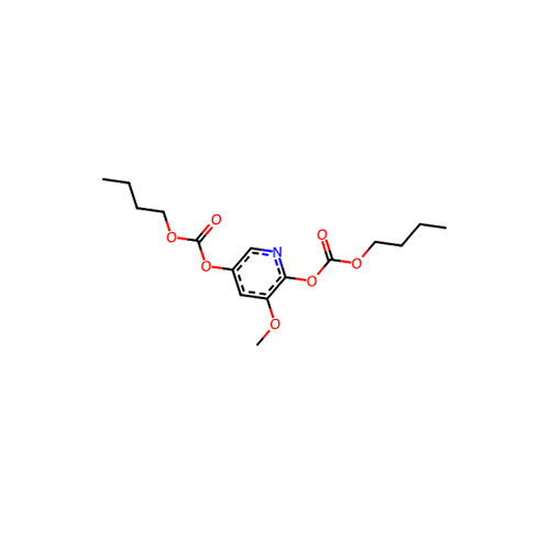 CCCCOC(=O)Oc1cnc(OC(=O)OCCCC)c(OC)c1